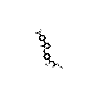 COC(=O)C[C@@H](C)c1ccc(Cn2cncc(-c3ccc([N+](=O)[O-])cc3)c2=O)cc1